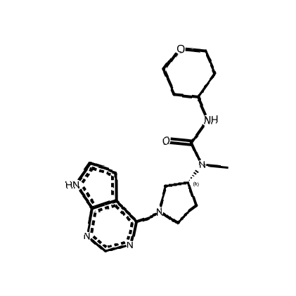 CN(C(=O)NC1CCOCC1)[C@@H]1CCN(c2ncnc3[nH]ccc23)C1